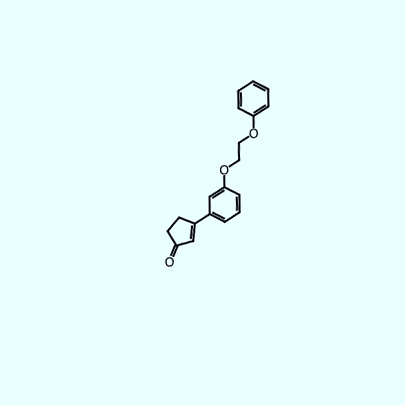 O=C1C=C(c2cccc(OCCOc3ccccc3)c2)CC1